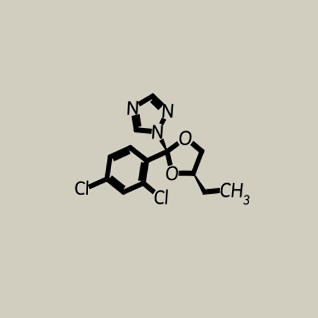 CC[C@@H]1CO[C@](c2ccc(Cl)cc2Cl)(n2cncn2)O1